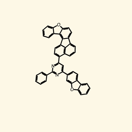 c1ccc(-c2nc(-c3ccc4c(c3)oc3ccccc34)cc(-c3ccc4c5c(cccc35)-c3ccc5oc6ccccc6c5c3-4)n2)cc1